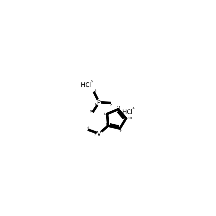 CP(C)C.Cl.Cl.[CH3][V][C]1=CC=CC1